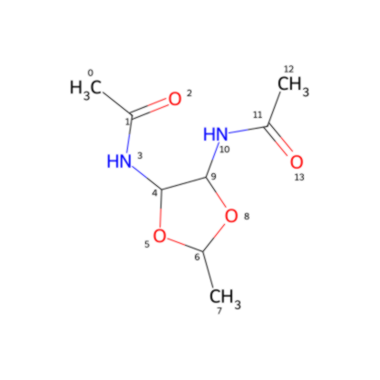 CC(=O)NC1OC(C)OC1NC(C)=O